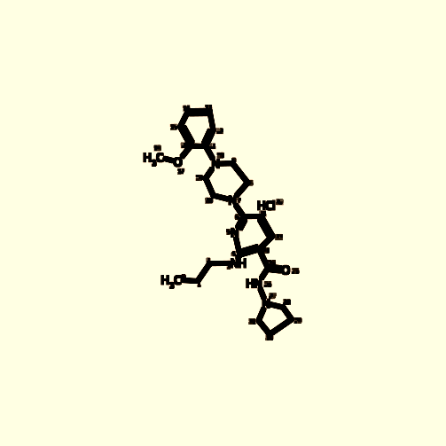 CCCNc1nc(N2CCN(c3ccccc3OC)CC2)ccc1C(=O)NN1CCCC1.Cl